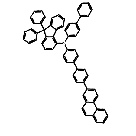 c1ccc(-c2ccc(N(c3ccc(-c4ccc(-c5ccc6c(ccc7ccccc76)c5)cc4)cc3)c3cccc4c3-c3ccccc3C4(c3ccccc3)c3ccccc3)cc2)cc1